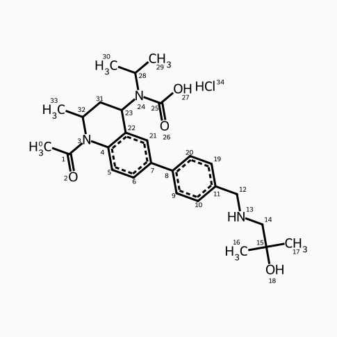 CC(=O)N1c2ccc(-c3ccc(CNCC(C)(C)O)cc3)cc2C(N(C(=O)O)C(C)C)CC1C.Cl